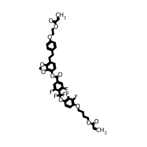 C=CC(=O)OCCCCOc1ccc(OC(F)(F)c2c(F)cc(C(=O)Oc3ccc(CCc4ccc(OCCOC(=O)C=C)cc4)c4c3OCO4)cc2F)c(F)c1F